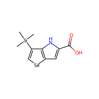 C[Si](C)(C)c1c[se]c2cc(C(=O)O)[nH]c12